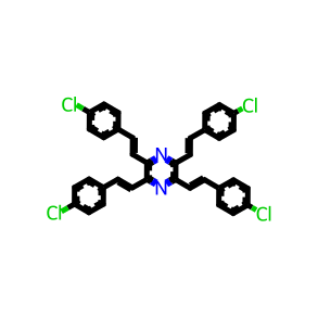 Clc1ccc(/C=C/c2nc(/C=C/c3ccc(Cl)cc3)c(/C=C/c3ccc(Cl)cc3)nc2/C=C/c2ccc(Cl)cc2)cc1